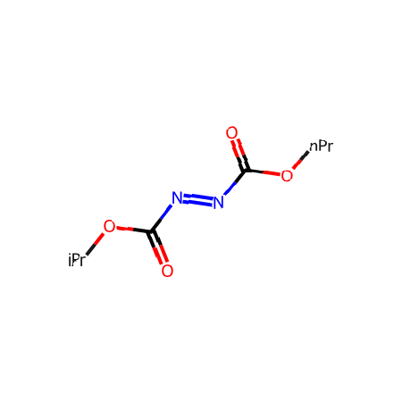 CCCOC(=O)/N=N/C(=O)OC(C)C